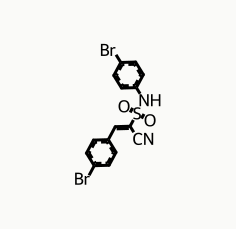 N#C/C(=C\c1ccc(Br)cc1)S(=O)(=O)Nc1ccc(Br)cc1